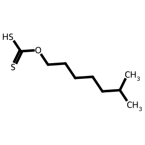 CC(C)CCCCCOC(=S)S